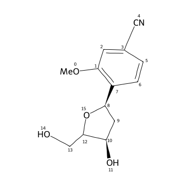 COc1cc(C#N)ccc1[C@H]1C[C@@H](O)C(CO)O1